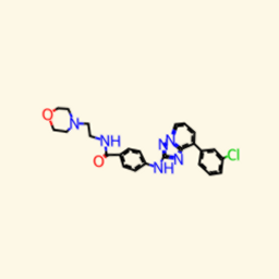 O=C(NCCN1CCOCC1)c1ccc(Nc2nc3c(-c4cccc(Cl)c4)cccn3n2)cc1